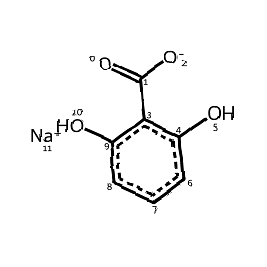 O=C([O-])c1c(O)cccc1O.[Na+]